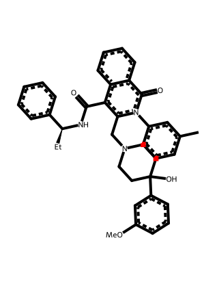 CC[C@H](NC(=O)c1c(CN2CCC(O)(c3cccc(OC)c3)CC2)n(-c2cccc(C)c2)c(=O)c2ccccc12)c1ccccc1